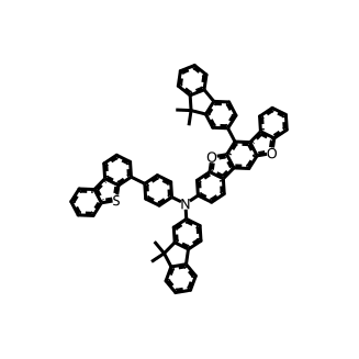 CC1(C)c2ccccc2-c2ccc(-c3c4oc5cc(N(c6ccc(-c7cccc8c7sc7ccccc78)cc6)c6ccc7c(c6)C(C)(C)c6ccccc6-7)ccc5c4cc4oc5ccccc5c34)cc21